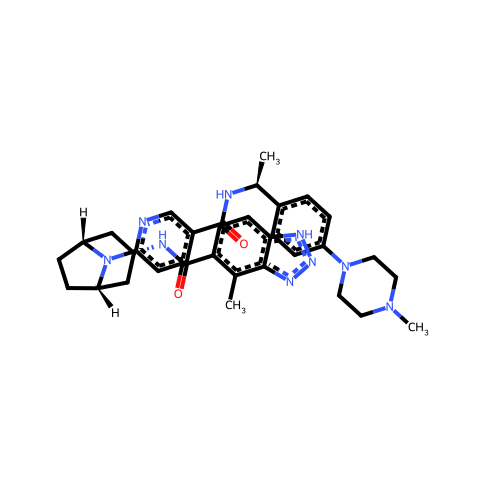 Cc1c(C(=O)N[C@H]2C[C@H]3CC[C@@H](C2)N3c2ccc(C(=O)N[C@@H](C)c3ccc(N4CCN(C)CC4)cc3)cn2)ccc2[nH]nnc12